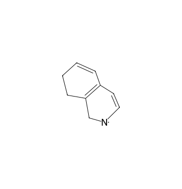 C1=CC2=C(CC1)C[N]C=C2